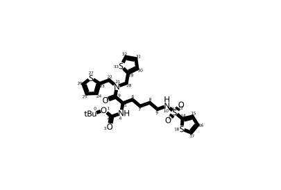 CC(C)(C)OC(=O)NC(CCCCNS(=O)(=O)c1cccs1)C(=O)N(Cc1cccs1)Cc1cccs1